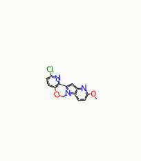 COc1ccc2c(cc3n2COc2ccc(Cl)nc2-3)n1